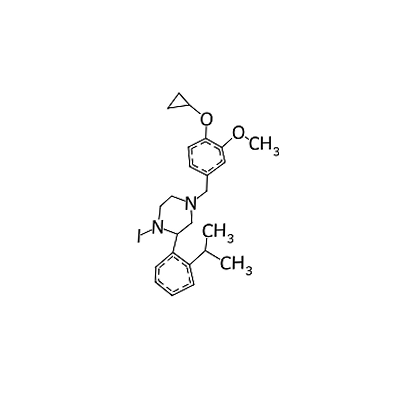 COc1cc(CN2CCN(I)C(c3ccccc3C(C)C)C2)ccc1OC1CC1